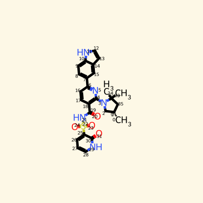 C[C@@H]1CN(c2nc(-c3ccc4[nH]ccc4c3)ccc2C(=O)NS(=O)(=O)c2ccc[nH]c2=O)C(C)(C)C1